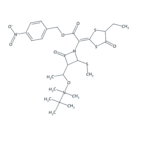 CCC1SC(=C(C(=O)OCc2ccc([N+](=O)[O-])cc2)N2C(=O)C(C(C)O[Si](C)(C)C(C)(C)C)C2SC)SC1=O